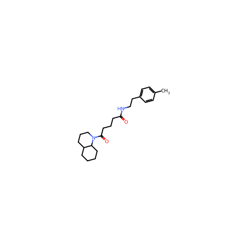 Cc1ccc(CCNC(=O)CCCC(=O)N2CCCC3CCCCC32)cc1